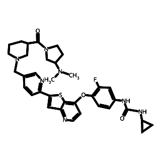 CN(C)C1CCN(C(=O)C2CCCN(Cc3ccc(-c4cc5nccc(Oc6ccc(NC(=O)NC7CC7)cc6F)c5s4)nc3)C2)C1